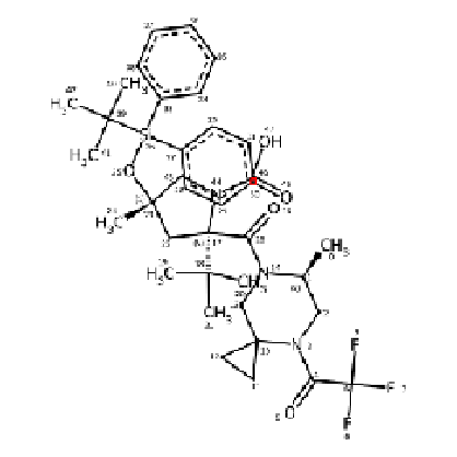 C[C@H]1CN(C(=O)C(F)(F)F)C2(CC2)CN1C(=O)[C@@]1(C(C)(C)C)C[C@](C)(O[Si](c2ccccc2)(c2ccccc2)C(C)(C)C)CN1C(=O)O